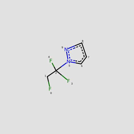 FCC(F)(F)n1cc[c]n1